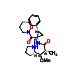 CO[C@@H]([C@@H]1CCCN1)[C@@H](C)C(=O)N[C@@]1(C(=O)N2CCCCO2)C[C@H]1c1ccccc1